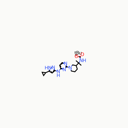 CC(C)(C)OC(=O)NC(C)(C)C1CCCN(c2nccc(Nc3cc(C4CC4)[nH]n3)n2)C1